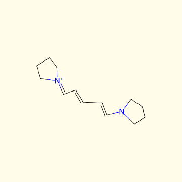 C(/C=C/C=C/N1CCCC1)=[N+]1CCCC1